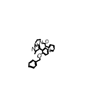 Cc1nn2c(c1-c1ccccc1OCc1ccccc1)N(C(=O)Cc1ccccn1)CCC2